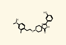 CC(=O)N(C)c1ccc(CCON2CCC3(CC2)N=C(c2cccc(O)c2)NC3=O)c(C)c1